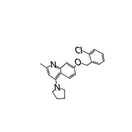 Cc1cc(N2CCCC2)c2ccc(OCc3ccccc3Cl)cc2n1